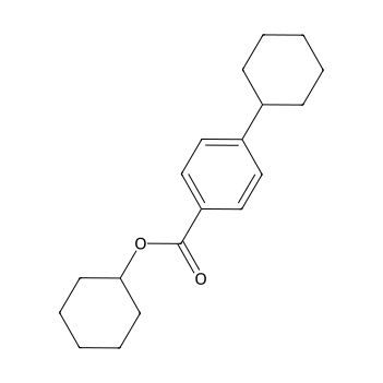 O=C(OC1CCCCC1)c1ccc(C2CCCCC2)cc1